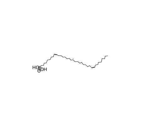 CCCCCCCC/C=C\CCCCCCCC[CH]CCCCCCC/C=C\CCCCCCCCP(=O)(O)O